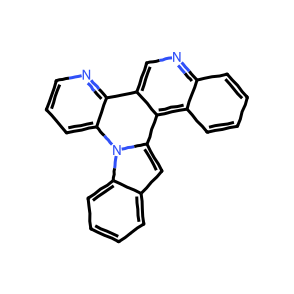 c1ccc2c(c1)cc1c3c4ccccc4ncc3c3ncccc3n21